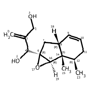 C=C(CO)C(O)[C@]12C[C@@H]3C=CC[C@@H](C)[C@]3(C)[C@H]1O2